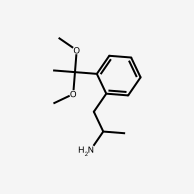 COC(C)(OC)c1ccccc1CC(C)N